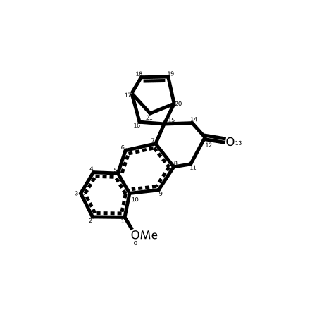 COc1cccc2cc3c(cc12)CC(=O)CC31CC2C=CC1C2